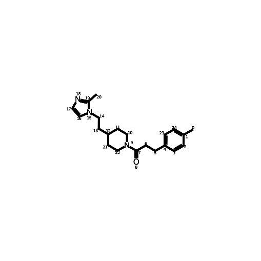 Cc1ccc(CCC(=O)N2CCC(CCn3ccnc3C)CC2)cc1